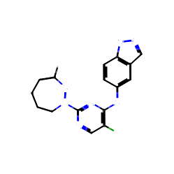 CCC1CCCCN(c2ncc(Cl)c(Nc3ccc4[nH]ncc4c3)n2)N1